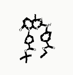 CCOC(=O)c1ccc(Nc2nc(C)c3ccc(=O)n(-c4ccc(C(=O)OC(C)(C)C)cc4)c3n2)cc1